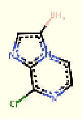 Bc1cnc2c(Cl)nccn12